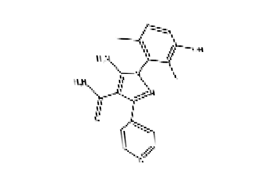 Cc1ccc(O)c(C)c1-n1nc(-c2ccncc2)c(C(N)=O)c1N